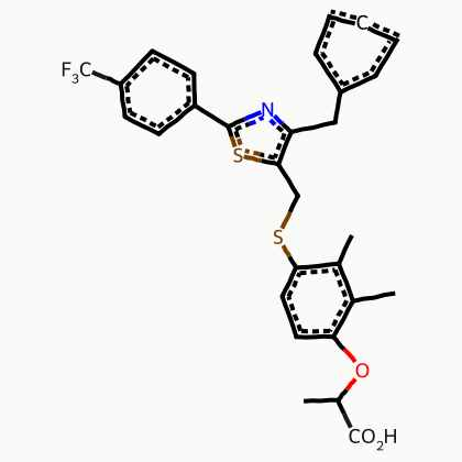 Cc1c(OC(C)C(=O)O)ccc(SCc2sc(-c3ccc(C(F)(F)F)cc3)nc2Cc2ccccc2)c1C